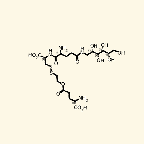 N[C@@H](CCC(=O)OCCSSC[C@H](NC(=O)[C@@H](N)CCC(=O)NC[C@H](O)[C@@H](O)[C@H](O)[C@H](O)CO)C(=O)O)C(=O)O